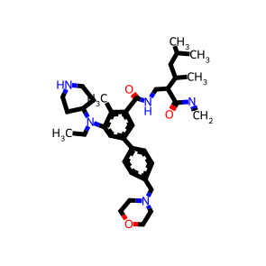 C=NC(=O)C(CNC(=O)c1cc(-c2ccc(CN3CCOCC3)cc2)cc(N(CC)C2CCNCC2)c1C)C(C)CC(C)C